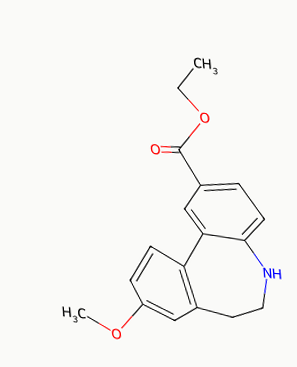 CCOC(=O)c1ccc2c(c1)-c1ccc(OC)cc1CCN2